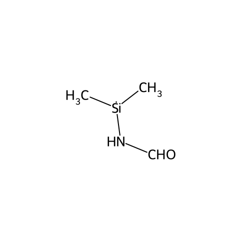 C[Si](C)NC=O